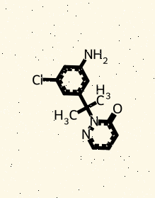 CC(C)(c1cc(N)cc(Cl)c1)n1ncccc1=O